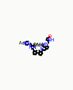 COc1nc(-c2cccc(-c3cccc(-c4cc5c(c(OC)n4)C(NCC4CCC(=O)N4)CC5)c3C)c2C)cnc1CN1CCN(C(C)=O)CC1